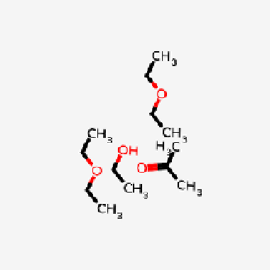 CC(C)=O.CCO.CCOCC.CCOCC